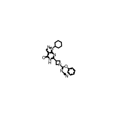 N#C/N=C(\Oc1ccccc1)N1CC(c2nc3c(cnn3C3CCCCC3)c(=O)[nH]2)C1